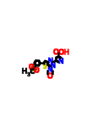 CS(=O)(=O)c1cccc(-c2cc3nc(-c4cncc(C(=O)O)c4)nc(N4CCOCC4)c3s2)c1